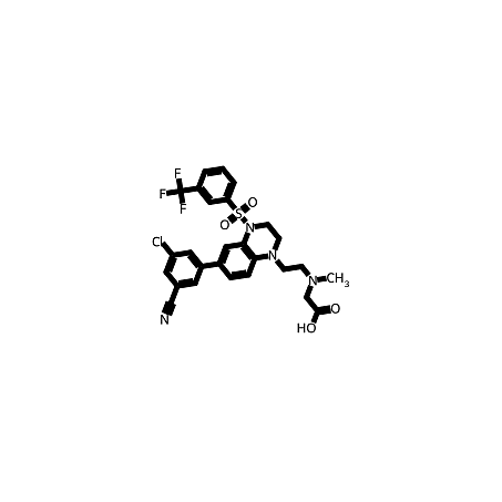 CN(CCN1CCN(S(=O)(=O)c2cccc(C(F)(F)F)c2)c2cc(-c3cc(Cl)cc(C#N)c3)ccc21)CC(=O)O